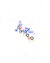 CCNC(C)(C)/C=C(/C#N)C(=O)N1CCC[C@@H]1Cn1nc(-c2ccc(Oc3cccc(F)c3F)cc2F)c2c(N)ncnc21